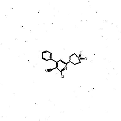 N#Cc1c(-c2ccccc2)cc(N2CCS(=O)(=O)CC2)nc1Cl